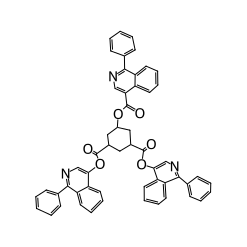 O=C(OC1CC(C(=O)Oc2cnc(-c3ccccc3)c3ccccc23)CC(C(=O)Oc2cnc(-c3ccccc3)c3ccccc23)C1)c1cnc(-c2ccccc2)c2ccccc12